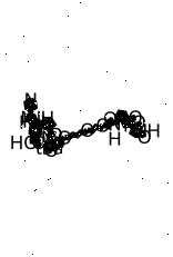 CC(C)(C)OC(O)N1CCC(Nc2cccc(C(=O)N[C@@H]3CCOc4ccc(OCCCCCOCCCOCC(=O)Nc5cccc6c5CN(C5CCC(=O)NC5=O)C6=O)cc43)c2)(c2nnc(-c3ccncc3)[nH]2)CC1